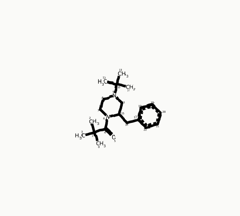 CC(C)(C)C(=O)N1CCN(C(C)(C)C)CC1Cc1ccccc1